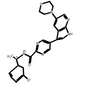 C[C@@H](NC(=O)c1ncc(-c2c[nH]c3ncc(N4CCOCC4)cc23)cn1)C1C=CC=C(Cl)C1